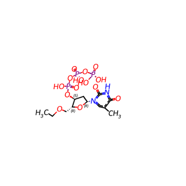 CCOC[C@H]1O[C@@H](n2cc(C)c(=O)[nH]c2=O)C[C@@H]1OP(=O)(O)OP(=O)(O)OP(=O)(O)O